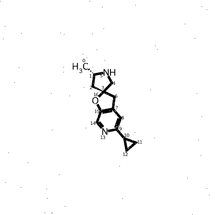 C[C@H]1C[C@@]2(CN1)Cc1cc(C3CC3)ncc1O2